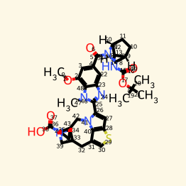 COc1cc(C(=O)N2C[C@H]3CC[C@@H]2[C@@H]3NC(=O)OC(C)(C)C)cc2nc(-c3cc4scc(CC5CN(C(=O)O)C5)c4n3CC3CC3)n(C)c12